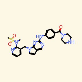 CN(c1ncccc1Cn1ccc2cnc(Nc3ccc(C(=O)N4CCNCC4)cc3)nc21)S(C)(=O)=O